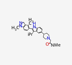 CNC(=O)CN1CCC(c2ccc3[nH]c(-c4ccc5c(cnn5C)c4C)c(C(C)C)c3c2)CC1